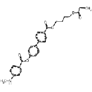 C=CC(=O)OCCCCOC(=O)c1ccc(-c2ccc(OC(=O)c3ccc(NC)cc3)cc2)cc1